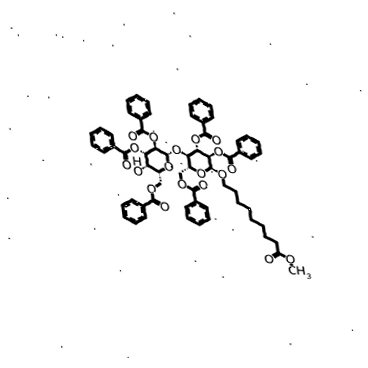 COC(=O)CCCCCCCCO[C@H]1O[C@H](COC(=O)c2ccccc2)[C@@H](O[C@@H]2O[C@H](COC(=O)c3ccccc3)[C@H](O)[C@H](OC(=O)c3ccccc3)[C@H]2OC(=O)c2ccccc2)[C@H](OC(=O)c2ccccc2)[C@H]1OC(=O)c1ccccc1